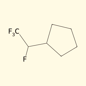 FC(C1CCCC1)C(F)(F)F